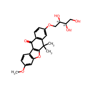 COc1ccc2c3c(oc2c1)C(C)(C)c1cc(OC[C@@H](O)[C@H](O)CO)ccc1C3=O